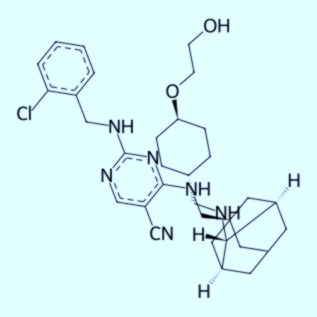 N#Cc1cnc(NCc2ccccc2Cl)nc1NC[C@]12CC3C[C@H](C1)[C@@H](NC[C@H]1CC[C@H](OCCO)CC1)[C@@H](C3)C2